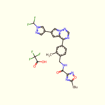 Cc1cc(-c2ncnn3cc(-c4cnn(C(F)F)c4)cc23)ccc1CNC(=O)c1noc(C(C)(C)C)n1.O=C(O)C(F)(F)F